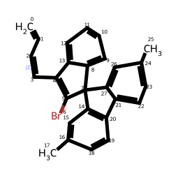 C=C/C=C\C1=C(Br)C2(c3ccccc31)c1cc(C)ccc1-c1ccc(C)cc12